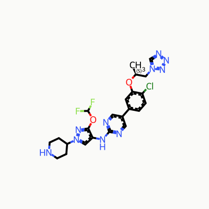 C[C@@H](Cn1cnnn1)Oc1cc(-c2cnc(Nc3cn(C4CCNCC4)nc3OC(F)F)nc2)ccc1Cl